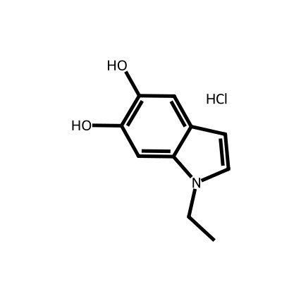 CCn1ccc2cc(O)c(O)cc21.Cl